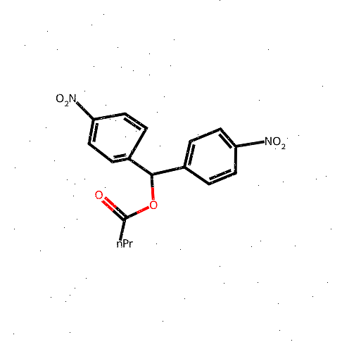 [CH2]CCC(=O)OC(c1ccc([N+](=O)[O-])cc1)c1ccc([N+](=O)[O-])cc1